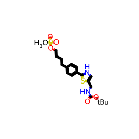 CC(C)(C)OC(=O)NCC1=CNC(c2ccc(CCCCOS(C)(=O)=O)cc2)S1